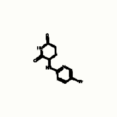 CC(C)c1cnc(NC2CCC(=O)NC2=O)nc1